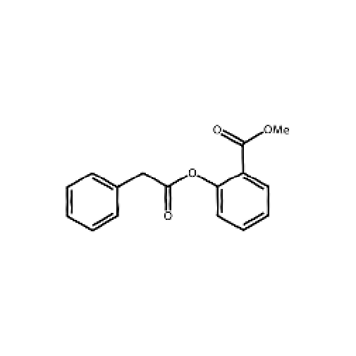 COC(=O)c1ccccc1OC(=O)Cc1ccccc1